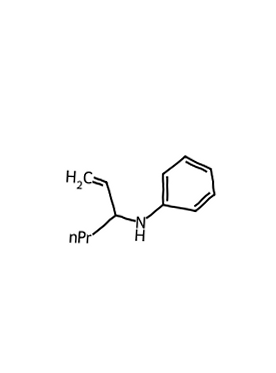 C=CC(CCC)Nc1ccccc1